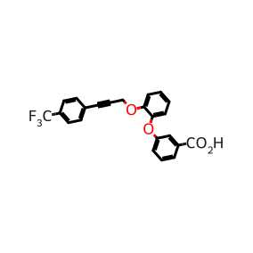 O=C(O)c1cccc(Oc2ccccc2OCC#Cc2ccc(C(F)(F)F)cc2)c1